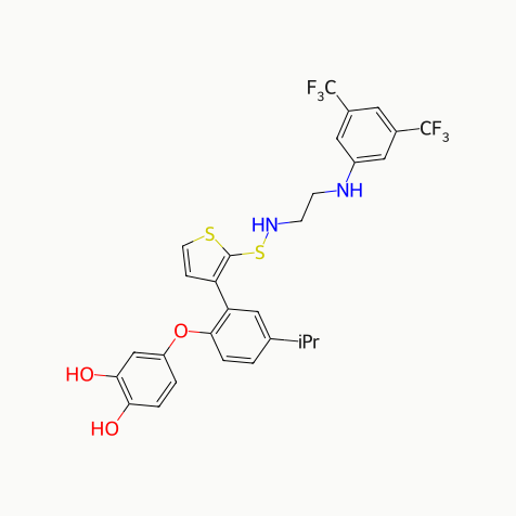 CC(C)c1ccc(Oc2ccc(O)c(O)c2)c(-c2ccsc2SNCCNc2cc(C(F)(F)F)cc(C(F)(F)F)c2)c1